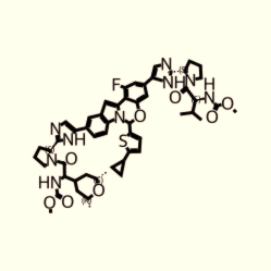 COC(=O)NC(C(=O)N1CCC[C@H]1c1ncc(-c2ccc3c(c2)cc2n3C(c3ccc(C4CC4)s3)Oc3cc(-c4cnc([C@@H]5CCCN5C(=O)[C@@H](NC(=O)OC)C(C)C)[nH]4)cc(F)c3-2)[nH]1)C1C[C@@H](C)O[C@@H](C)C1